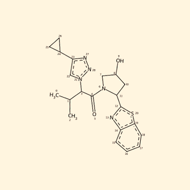 CC(C)C(C(=O)N1CC(O)CC1c1nc2ccccc2s1)n1cc(C2CC2)nn1